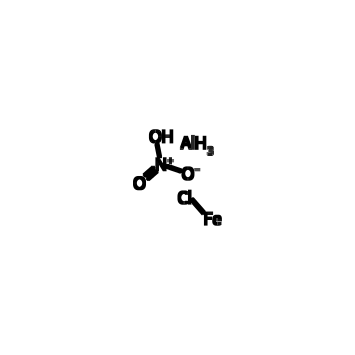 O=[N+]([O-])O.[AlH3].[Cl][Fe]